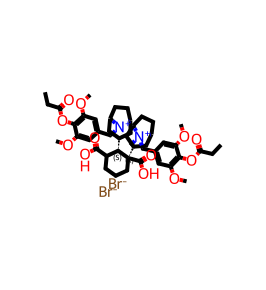 CCC(=O)Oc1c(OC)cc(C[N+]2(C)C3CCC2CC([C@H]2C(C(=O)O)CCC[C@@]2(C(=O)O)C2CC4CCC(C2)[N+]4(C)Cc2cc(OC)c(OC(=O)CC)c(OC)c2)C3)cc1OC.[Br-].[Br-]